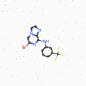 FC(F)(F)c1cccc(Nc2nc(Br)cn3ccnc23)c1